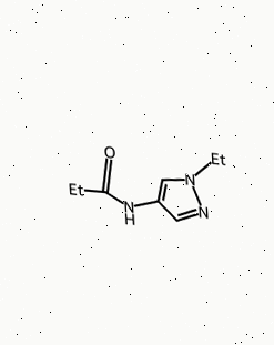 CCC(=O)Nc1cnn(CC)c1